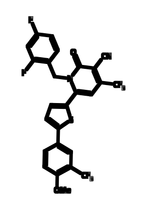 COc1ccc(-c2ccc(-c3cc(C(F)(F)F)c(C#N)c(=O)n3Cc3ccc(F)cc3F)s2)cc1C(F)(F)F